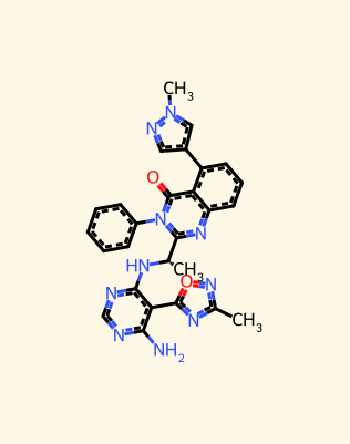 Cc1noc(-c2c(N)ncnc2N[C@@H](C)c2nc3cccc(-c4cnn(C)c4)c3c(=O)n2-c2ccccc2)n1